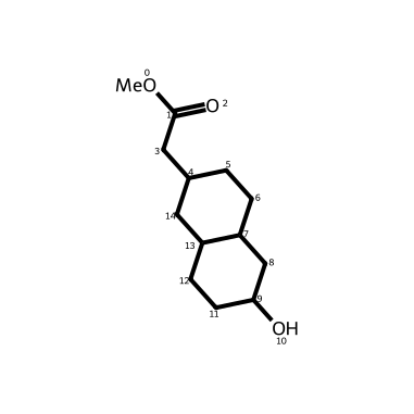 COC(=O)CC1CCC2CC(O)CCC2C1